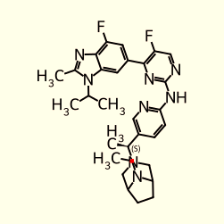 CCN1C2CCC1CN([C@@H](C)c1ccc(Nc3ncc(F)c(-c4cc(F)c5nc(C)n(C(C)C)c5c4)n3)nc1)C2